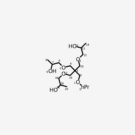 CCCOCC(COCC(C)O)(COCC(C)O)COCC(C)O